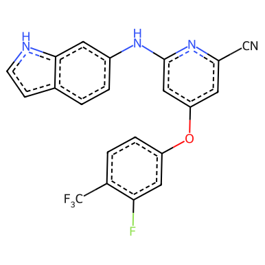 N#Cc1cc(Oc2ccc(C(F)(F)F)c(F)c2)cc(Nc2ccc3cc[nH]c3c2)n1